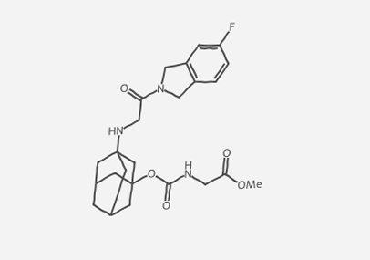 COC(=O)CNC(=O)OC12CC3CC(CC(NCC(=O)N4Cc5ccc(F)cc5C4)(C3)C1)C2